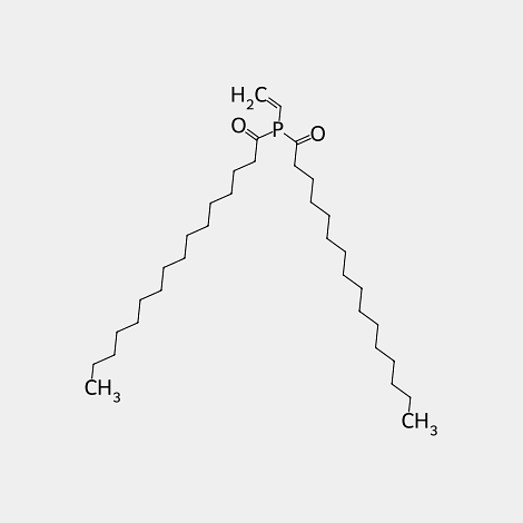 C=CP(C(=O)CCCCCCCCCCCCCCC)C(=O)CCCCCCCCCCCCCCC